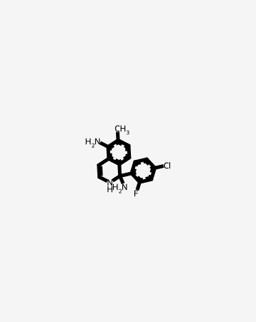 Cc1ccc2c(c1N)C=CNC2(N)c1ccc(Cl)cc1F